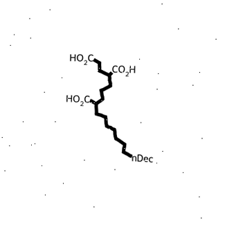 CCCCCCCCCCCCCCCCCC(CCCC(CCC(=O)O)C(=O)O)C(=O)O